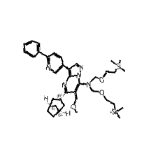 COCc1c([C@H]2C[C@@H]3CC[C@@H](C3)C2)nc2c(-c3ccc(-c4ccccc4)nc3)cnn2c1N(COCC[Si](C)(C)C)COCC[Si](C)(C)C